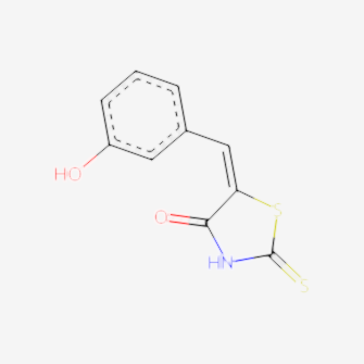 O=C1NC(=S)SC1=Cc1cccc(O)c1